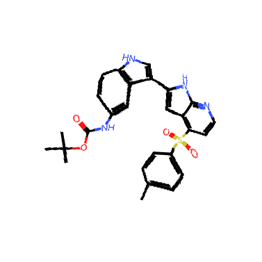 Cc1ccc(S(=O)(=O)c2ccnc3[nH]c(-c4c[nH]c5ccc(NC(=O)OC(C)(C)C)cc45)cc23)cc1